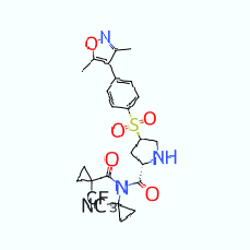 Cc1noc(C)c1-c1ccc(S(=O)(=O)[C@H]2CN[C@H](C(=O)N(C(=O)C3(C(F)(F)F)CC3)C3(C#N)CC3)C2)cc1